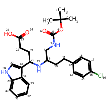 CC(C)(C)OC(=O)NCC(CCc1ccc(Cl)cc1)N[C@H](CCC(=O)O)c1c[nH]c2ccccc12